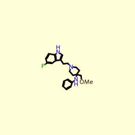 COCC1(Nc2ccccc2)CCN(CCc2c[nH]c3ccc(F)cc23)CC1